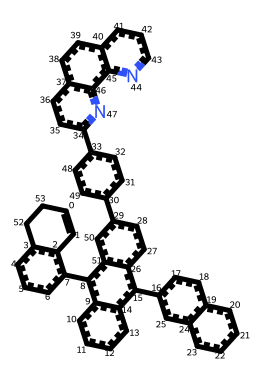 C1=Cc2c(cccc2-c2c3ccccc3c(-c3ccc4ccccc4c3)c3ccc(-c4ccc(-c5ccc6ccc7cccnc7c6n5)cc4)cc23)CC1